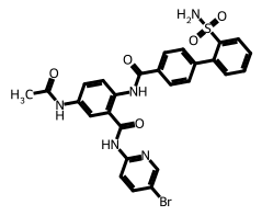 CC(=O)Nc1ccc(NC(=O)c2ccc(-c3ccccc3S(N)(=O)=O)cc2)c(C(=O)Nc2ccc(Br)cn2)c1